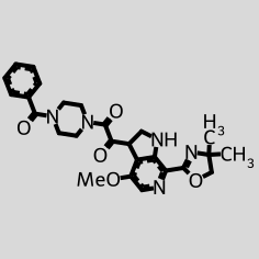 COc1cnc(C2=NC(C)(C)CO2)c2c1C(C(=O)C(=O)N1CCN(C(=O)c3ccccc3)CC1)CN2